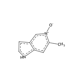 Cc1cc2[nH]ccc2c[n+]1[O-]